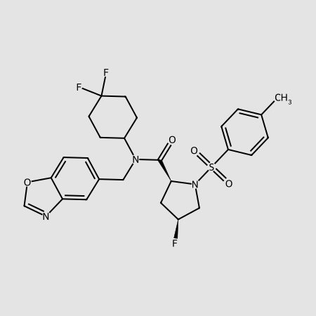 Cc1ccc(S(=O)(=O)N2C[C@@H](F)C[C@H]2C(=O)N(Cc2ccc3ocnc3c2)C2CCC(F)(F)CC2)cc1